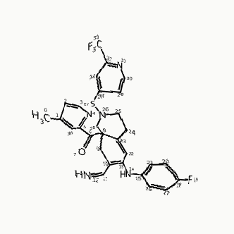 Cc1ccnc(C(=O)C23CC(C=N)=C(Nc4ccc(F)cc4)C=C2CCN(Sc2ccnc(C(F)(F)F)c2)C3)c1